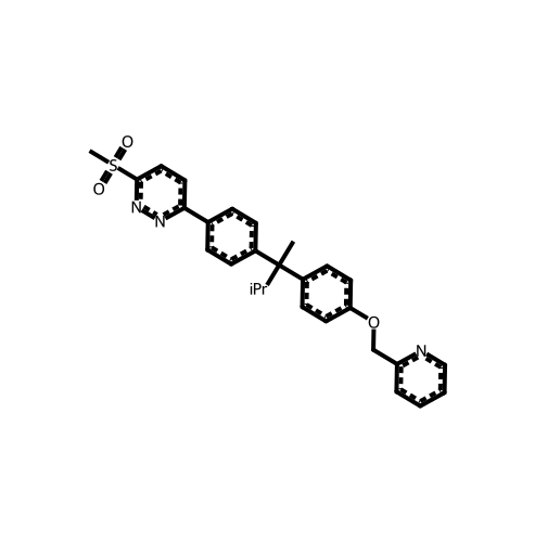 CC(C)C(C)(c1ccc(OCc2ccccn2)cc1)c1ccc(-c2ccc(S(C)(=O)=O)nn2)cc1